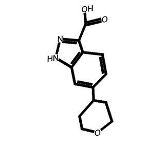 O=C(O)c1n[nH]c2cc(C3CCOCC3)ccc12